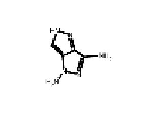 Nc1nn(N)c2c[nH]nc12